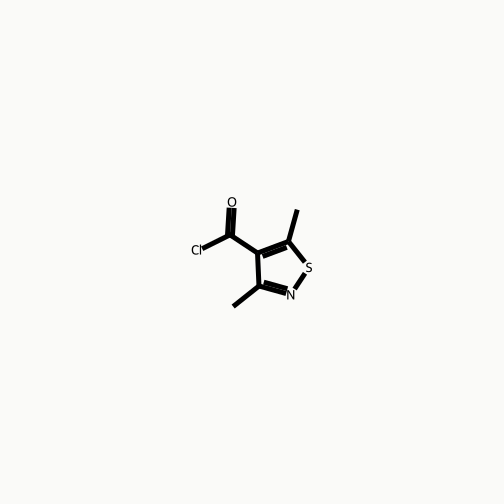 Cc1nsc(C)c1C(=O)Cl